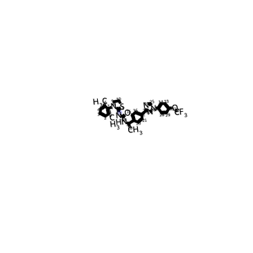 Cc1cccc(C)c1N1CCS/C1=N\C(=O)NC(C)c1ccc(-c2ncn(-c3ccc(OC(F)(F)F)cc3)n2)cc1